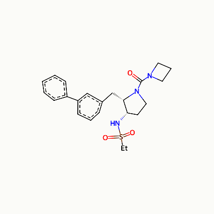 CCS(=O)(=O)N[C@H]1CCN(C(=O)N2CCC2)[C@H]1Cc1cccc(-c2ccccc2)c1